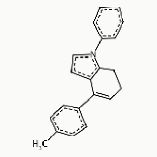 Cc1ccc(C2=CCCc3c2ccn3-c2ccccc2)cc1